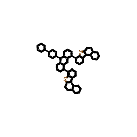 c1ccc(-c2ccc(-c3c4cccc(-c5cccc6c5sc5ccc7ccccc7c56)c4cc4c(-c5cccc6c5sc5ccc7ccccc7c56)cccc34)cc2)cc1